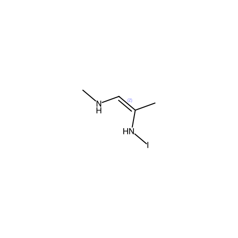 CN/C=C(/C)NI